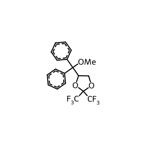 COC(c1ccccc1)(c1ccccc1)C1COC(C(F)(F)F)(C(F)(F)F)O1